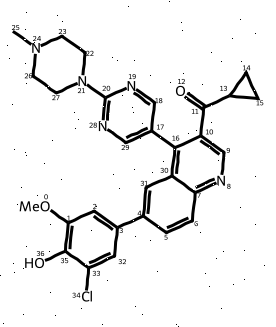 COc1cc(-c2ccc3ncc(C(=O)C4CC4)c(-c4cnc(N5CCN(C)CC5)nc4)c3c2)cc(Cl)c1O